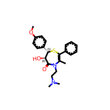 COc1ccc([C@@H]2SC(c3ccccc3)=C(C)N(CCN(C)C)C(=O)[C@H]2O)cc1